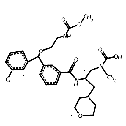 COC(=O)NCCOC(c1cccc(Cl)c1)c1cccc(C(=O)NC(CC2CCOCC2)CN(C)C(=O)O)c1